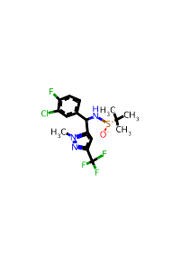 Cn1nc(C(F)(F)F)cc1C(N[S@+]([O-])C(C)(C)C)c1ccc(F)c(Cl)c1